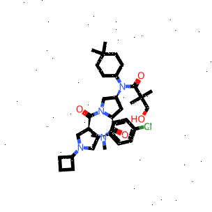 CN(C)C(=O)[C@@H]1C[C@H](N(C(=O)C(C)(C)CO)C2CCC(C)(C)CC2)CN1C(=O)[C@@H]1CN(C2CCC2)C[C@H]1c1ccc(Cl)cc1